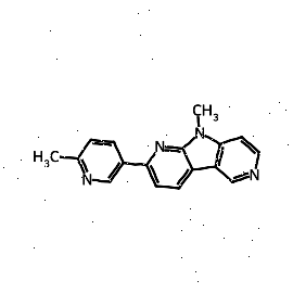 Cc1ccc(-c2ccc3c4cnccc4n(C)c3n2)cn1